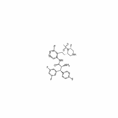 C[C@H]1CNC[C@H](CCc2c(F)cncc2NC(=O)[C@@H](N)[C@@H](c2ccc(F)cc2)c2cc(F)cc(F)c2)N1S(C)(=O)=O